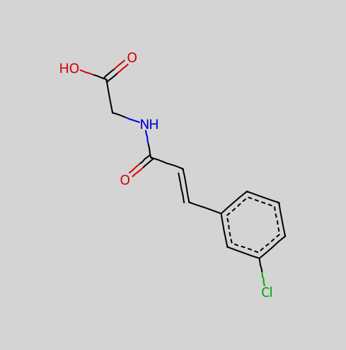 O=C(O)CNC(=O)/C=C/c1cccc(Cl)c1